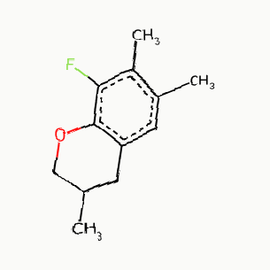 Cc1cc2c(c(F)c1C)OCC(C)C2